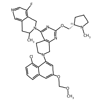 COCOc1cc(N2CCc3c(nc(OC[C@@H]4CCCN4C)nc3N3Cc4c(F)cncc4CC3C)C2)c2c(Cl)cccc2c1